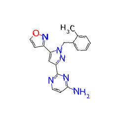 Cc1ccccc1Cn1nc(-c2nccc(N)n2)cc1-c1ccon1